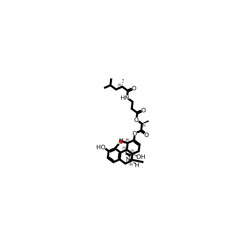 CC(C)C[C@H](C)C(=O)NCCC(=O)O[C@@H](C)C(=O)OC1=CC[C@@]2(O)[C@H]3Cc4ccc(O)c5c4[C@@]2(CCN3C)[C@H]1O5